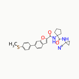 CSc1ccc(-c2ccc3cc(C(=O)NC4(C(=O)NC5(C#N)CC5)CCCC4)oc3c2)cc1